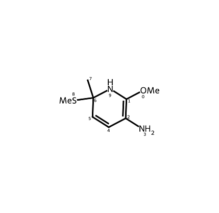 COC1=C(N)C=CC(C)(SC)N1